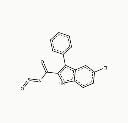 O=S=NC(=O)c1[nH]c2ccc(Cl)cc2c1-c1ccccc1